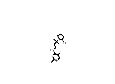 CC[C@@H]1CCCN1C(C)(C)CCNc1nc(Cl)ncc1F